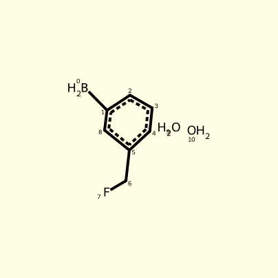 Bc1cccc(CF)c1.O.O